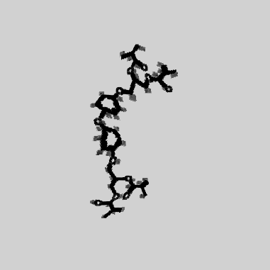 C=C(C)C(=O)OCC(COc1ccc(Oc2ccc(OCC(COC(=O)C(=C)C)OC(=O)C(=C)C)cc2)cc1)OC(=O)C(=C)C